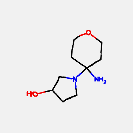 NC1(N2CCC(O)C2)CCOCC1